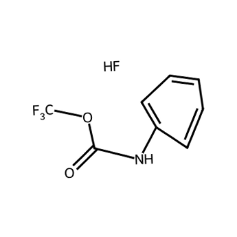 F.O=C(Nc1ccccc1)OC(F)(F)F